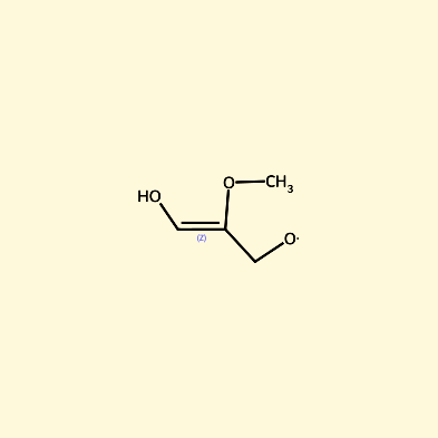 CO/C(=C\O)C[O]